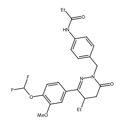 CCC(=O)Nc1ccc(CN2N=C(c3ccc(OC(F)F)c(OC)c3)C(CC)CC2=O)cc1